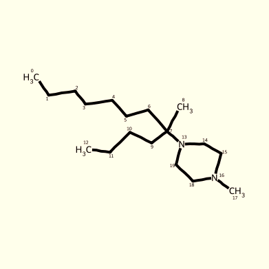 CCCCCCCC(C)(CCCC)N1CCN(C)CC1